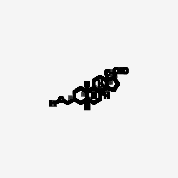 CCOC[C@H]1CC[C@H]2[C@H](CC[C@@H]3[C@@H]2CC[C@]2(C)[C@@H](C=O)CC[C@@H]32)C1